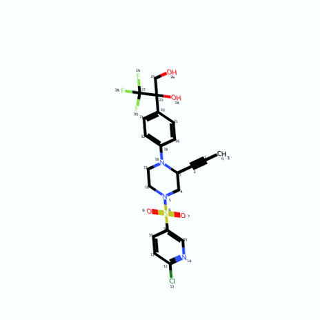 CC#CC1CN(S(=O)(=O)c2ccc(Cl)nc2)CCN1c1ccc(C(O)(CO)C(F)(F)F)cc1